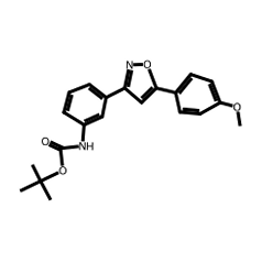 COc1ccc(-c2cc(-c3cccc(NC(=O)OC(C)(C)C)c3)no2)cc1